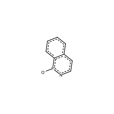 [O-][p+]1nccc2ccccc21